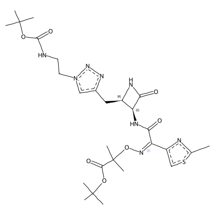 Cc1nc(/C(=N/OC(C)(C)C(=O)OC(C)(C)C)C(=O)N[C@@H]2C(=O)N[C@@H]2Cc2cn(CCNC(=O)OC(C)(C)C)nn2)cs1